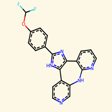 FC(F)Oc1ccc(-c2nc3c([nH]2)-c2ccncc2Nc2ncccc2-3)cc1